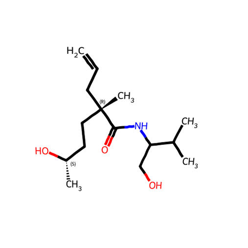 C=CC[C@@](C)(CC[C@H](C)O)C(=O)NC(CO)C(C)C